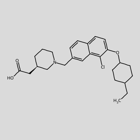 CCC1CCC(Oc2ccc3ccc(CN4CCC[C@H](CC(=O)O)C4)cc3c2Cl)CC1